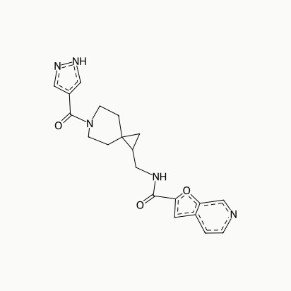 O=C(NCC1CC12CCN(C(=O)c1cn[nH]c1)CC2)c1cc2ccncc2o1